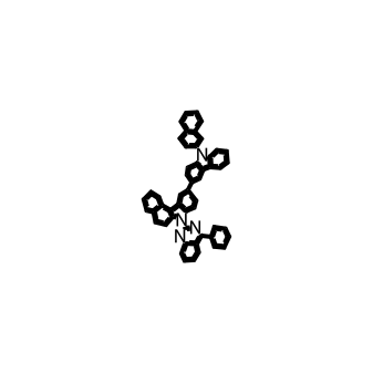 c1ccc(-c2nc(-n3c4ccc(-c5ccc6c(c5)c5ccccc5n6-c5ccc6ccccc6c5)cc4c4c5ccccc5ccc43)nc3ccccc23)cc1